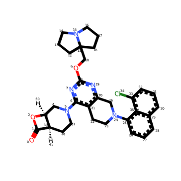 O=C1O[C@H]2CN(c3nc(OCC45CCCN4CCC5)nc4c3CCN(c3cccc5cccc(Cl)c35)C4)CC[C@@H]12